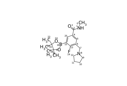 CNC(=O)c1cc(CN2CCCC2)c(F)c(B2OC(C)(C)C(C)(C)O2)c1